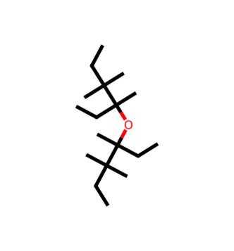 CCC(C)(C)C(C)(CC)OC(C)(CC)C(C)(C)CC